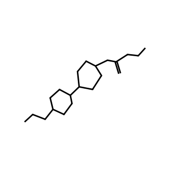 C=C(CCC)CC1CCC(C2CCC(CCC)CC2)CC1